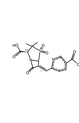 CC1(C)[C@H](C(=O)O)N2C(=O)/C(=C/c3ccc(C(=O)O)cn3)C2S1(=O)=O